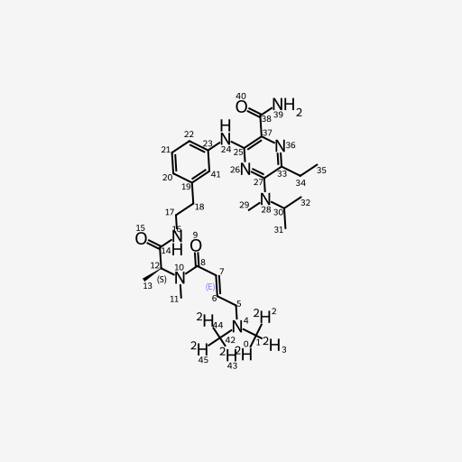 [2H]C([2H])([2H])N(C/C=C/C(=O)N(C)[C@@H](C)C(=O)NCCc1cccc(Nc2nc(N(C)C(C)C)c(CC)nc2C(N)=O)c1)C([2H])([2H])[2H]